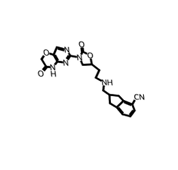 N#Cc1cccc2c1CC(CNCCC1CN(c3ncc4c(n3)NC(=O)CO4)C(=O)O1)C2